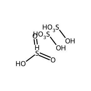 O=S(=O)(O)O.O=S(=O)(O)O.O=[SH](=O)O